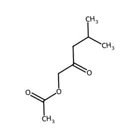 CC(=O)OCC(=O)CC(C)C